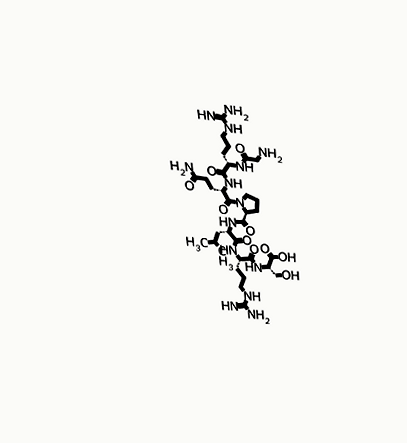 CC(C)C[C@H](NC(=O)[C@@H]1CCCN1C(=O)[C@H](CCC(N)=O)NC(=O)[C@H](CCCNC(=N)N)NC(=O)CN)C(=O)N[C@@H](CCCNC(=N)N)C(=O)N[C@@H](CO)C(=O)O